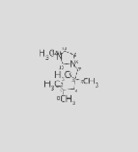 CC(C)CC(C)(C)CN1CCN(C)C1